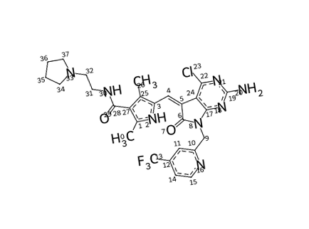 Cc1[nH]c(C=C2C(=O)N(Cc3cc(C(F)(F)F)ccn3)c3nc(N)nc(Cl)c32)c(C)c1C(=O)NCCN1CCCC1